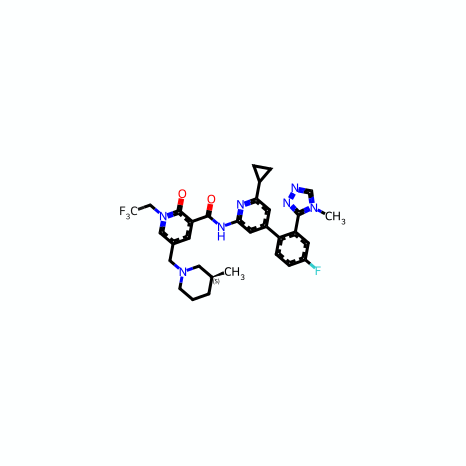 C[C@H]1CCCN(Cc2cc(C(=O)Nc3cc(-c4ccc(F)cc4-c4nncn4C)cc(C4CC4)n3)c(=O)n(CC(F)(F)F)c2)C1